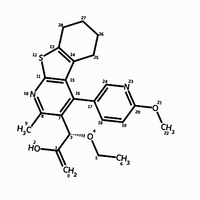 C=C(O)[C@@H](OCC)c1c(C)nc2sc3c(c2c1-c1ccc(OC)nc1)CCCC3